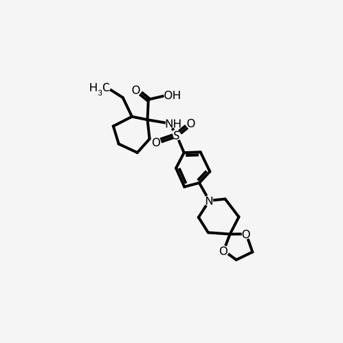 CCC1CCCCC1(NS(=O)(=O)c1ccc(N2CCC3(CC2)OCCO3)cc1)C(=O)O